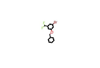 FC(F)c1cc(Br)cc(OCc2ccccc2)c1